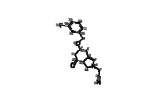 N#CCN1C=C2C=C(OCc3cccc(F)c3)CC(=O)C2C1